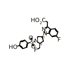 O=C(O)Cc1nn([C@@H]2C[C@@H](CF)N(S(=O)(=O)c3ccc(O)cc3)C2)c2cc(F)ccc12